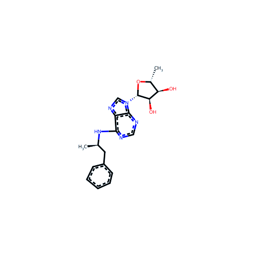 C[C@H](Cc1ccccc1)Nc1ncnc2c1ncn2[C@@H]1O[C@H](C)[C@@H](O)[C@H]1O